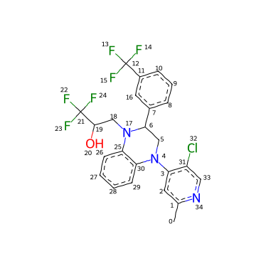 Cc1cc(N2CC(c3cccc(C(F)(F)F)c3)N(CC(O)C(F)(F)F)c3ccccc32)c(Cl)cn1